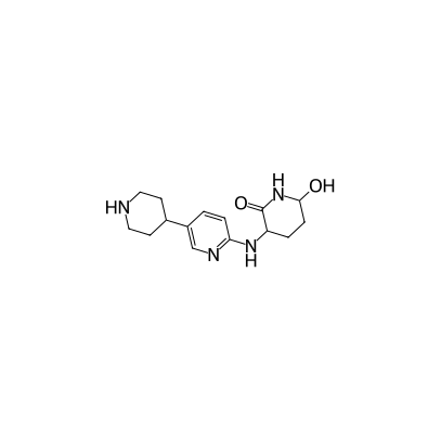 O=C1NC(O)CCC1Nc1ccc(C2CCNCC2)cn1